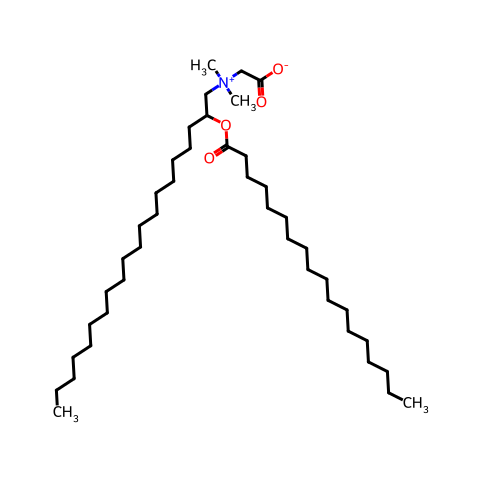 CCCCCCCCCCCCCCCCCCC(C[N+](C)(C)CC(=O)[O-])OC(=O)CCCCCCCCCCCCCCCCC